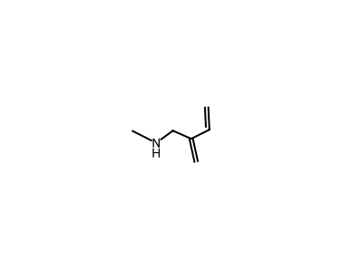 C=CC(=C)CNC